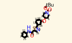 CC(C)(C)OC(=O)N1CCC(Oc2cccc(-c3ncc(C(=O)Nc4ccccc4)s3)c2)CC1